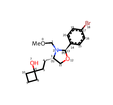 COCN1[C@@H](CCC2(O)CCC2)CO[C@@H]1c1ccc(Br)cc1